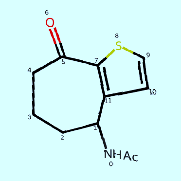 CC(=O)NC1CCCC(=O)c2sccc21